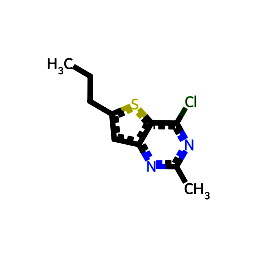 CCCc1cc2nc(C)nc(Cl)c2s1